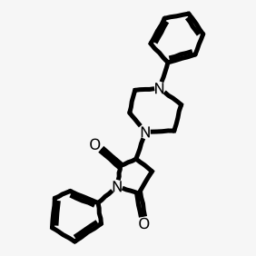 O=C1CC(N2CCN(c3ccccc3)CC2)C(=O)N1c1ccccc1